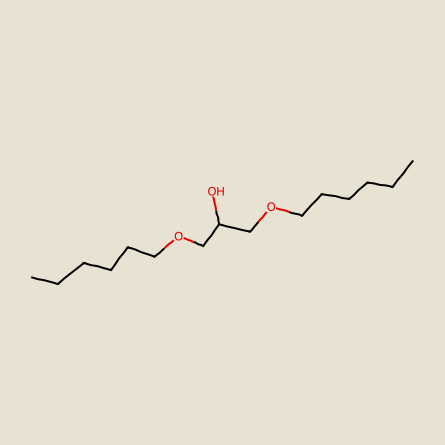 CCCCCCOCC(O)COCCCCCC